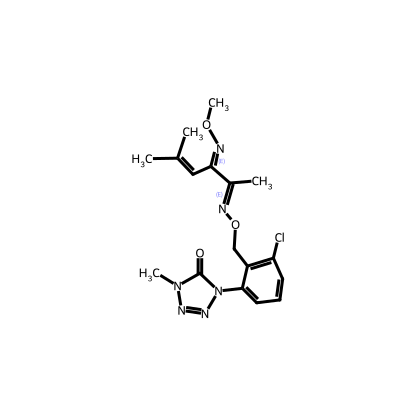 CO/N=C(C=C(C)C)/C(C)=N/OCc1c(Cl)cccc1-n1nnn(C)c1=O